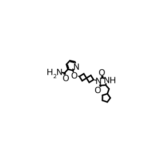 NC(=O)c1cccnc1O[C@H]1CC2(C1)C[C@H](N1C(=O)NC(CC3CCCC3)C1=O)C2